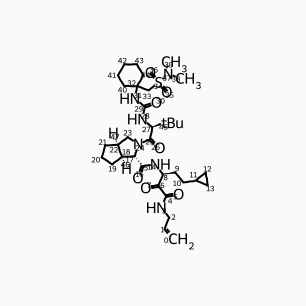 C=CCNC(=O)C(=O)[C@H](CCC1CC1)NC(=O)[C@@H]1[C@H]2CCC[C@H]2CN1C(=O)[C@@H](NC(=O)NC1(CS(=O)(=O)N(C)C)CCCCC1)C(C)(C)C